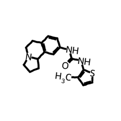 Cc1ccsc1NC(=O)Nc1ccc2c(c1)C1CCCN1CC2